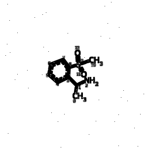 CC(N)c1ccccc1S(C)(=O)=O